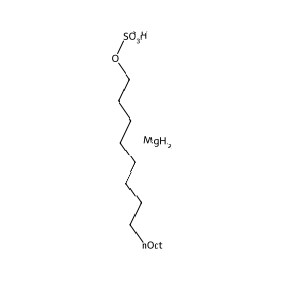 CCCCCCCCCCCCCCCCOS(=O)(=O)O.[MgH2]